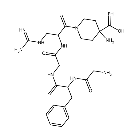 C=C(NCC(=O)NC(CNC(=N)N)C(=C)N1CCC(N)(C(O)=P)CC1)C(Cc1ccccc1)NC(=O)CN